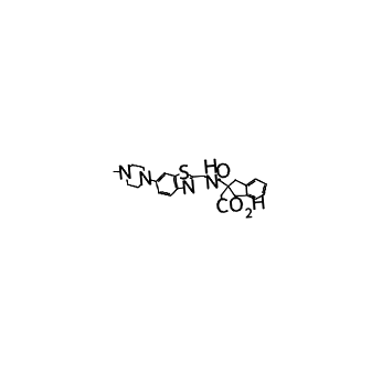 CN1CCN(c2ccc3nc(CNC(=O)C4(CC(=O)O)Cc5ccccc5C4)sc3c2)CC1